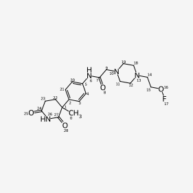 CC1(c2ccc(NC(=O)CN3CCN(CCOF)CC3)cc2)CCC(=O)NC1=O